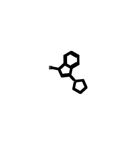 [Li][CH]1C=C(N2CCCC2)c2ccccc21